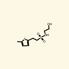 Cc1ccc(CCS(=O)(=O)NCCO)s1